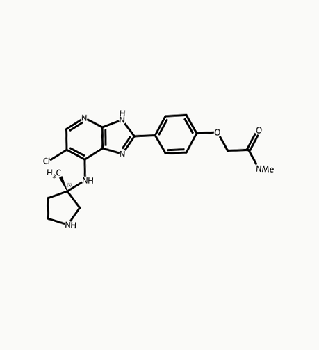 CNC(=O)COc1ccc(-c2nc3c(N[C@@]4(C)CCNC4)c(Cl)cnc3[nH]2)cc1